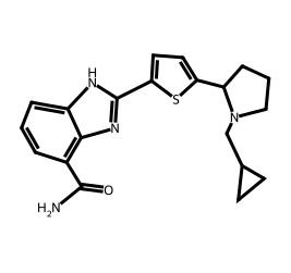 NC(=O)c1cccc2[nH]c(-c3ccc(C4CCCN4CC4CC4)s3)nc12